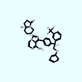 C[C@](COc1ccccc1)(c1ccc(-c2nc([C@@H]3CC[C@H]4CCC(=O)N4C3)n3ccnc(N)c23)cc1)c1cccc(C(F)(F)F)c1